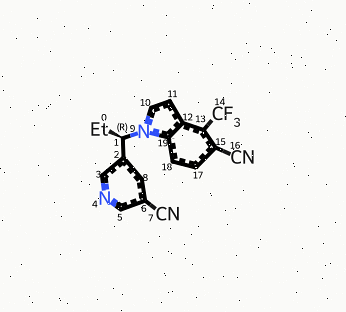 CC[C@H](c1cncc(C#N)c1)n1ccc2c(C(F)(F)F)c(C#N)ccc21